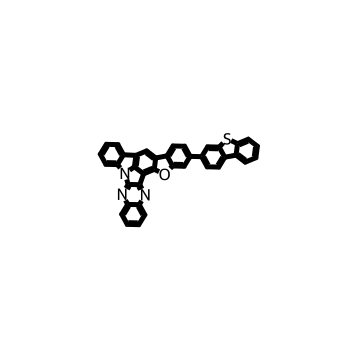 c1ccc2nc3c(nc2c1)c1c2oc4cc(-c5ccc6c(c5)sc5ccccc56)ccc4c2cc2c4ccccc4n3c21